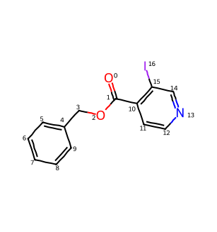 O=C(OCc1ccccc1)c1ccncc1I